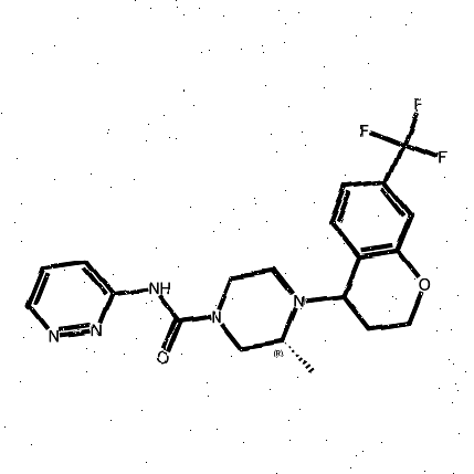 C[C@@H]1CN(C(=O)Nc2cccnn2)CCN1C1CCOc2cc(C(F)(F)F)ccc21